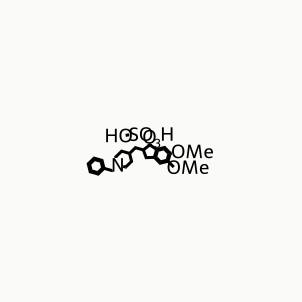 COc1cc2c(cc1OC)C(=O)C(CC1CCN(Cc3ccccc3)CC1)C2.O=S(=O)(O)O